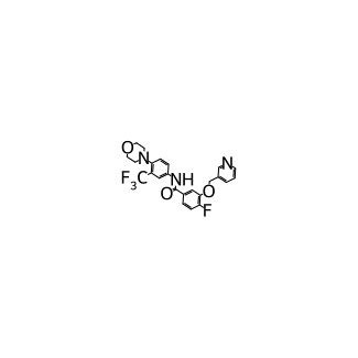 O=C(Nc1ccc(N2CCOCC2)c(C(F)(F)F)c1)c1ccc(F)c(OCc2cccnc2)c1